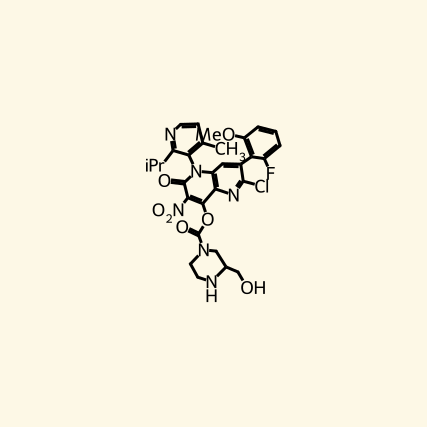 COc1cccc(F)c1-c1cc2c(nc1Cl)c(OC(=O)N1CCNC(CO)C1)c([N+](=O)[O-])c(=O)n2-c1c(C)ccnc1C(C)C